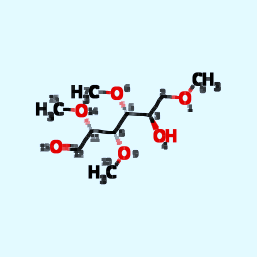 COC[C@@H](O)[C@@H](OC)[C@H](OC)[C@H](C=O)OC